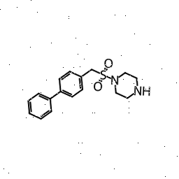 O=S(=O)(Cc1ccc(-c2ccccc2)cc1)N1CCNCC1